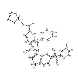 CN(CCN1CCOCC1)c1ccc(C(=O)Nc2n[nH]c3ccc(S(=O)(=O)c4cccc(F)c4)cc23)c(NC2CCOCC2)c1